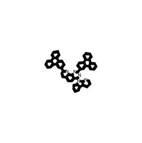 c1ccc2c(c1)c1ccccc1c1cc(-c3ccc4ccc5c(-n6c7ccccc7c7cccnc76)nc(-c6ccc7c8ccccc8c8ccccc8c7c6)nc5c4n3)ccc21